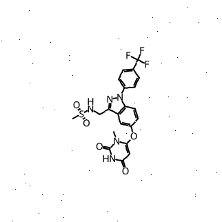 Cn1c(Oc2ccc3c(c2)c(CNS(C)(=O)=O)nn3-c2ccc(C(F)(F)F)cc2)cc(=O)[nH]c1=O